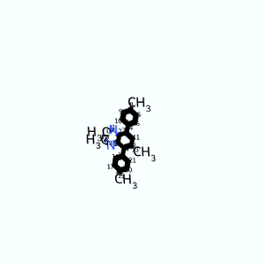 C/N=C1/C(c2ccc(C)cc2)=CC(C)=C(c2ccc(C)cc2)/C1=N/C